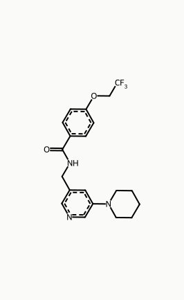 O=C(NCc1cncc(N2CCCCC2)c1)c1ccc(OCC(F)(F)F)cc1